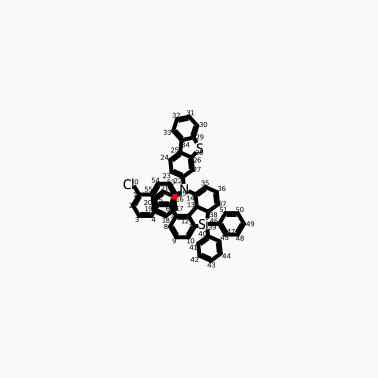 Clc1cccc2c(-c3cccc4c3C3C(N(c5ccccc5)c5ccc6c(c5)sc5ccccc56)=CC=CC3[Si]4(c3ccccc3)c3ccccc3)cccc12